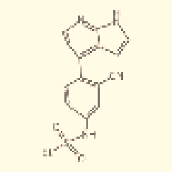 CCS(=O)(=O)Nc1ccc(-c2ccnc3[nH]ccc23)c(C#N)c1